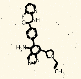 CC=CN1CCC(c2cc(-c3ccc(C(=O)Nc4ncccc4F)cc3)c(N)c3cncnc23)C1